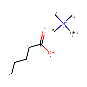 CCCCC(=O)O.CCCC[N+](C)(C)C